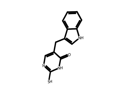 O=c1[nH]c(S)ncc1Cc1c[nH]c2ccccc12